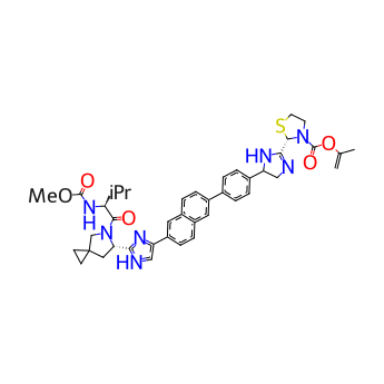 C=C(C)OC(=O)N1CCS[C@H]1C1=NCC(c2ccc(-c3ccc4cc(-c5c[nH]c([C@@H]6CC7(CC7)CN6C(=O)[C@@H](NC(=O)OC)C(C)C)n5)ccc4c3)cc2)N1